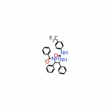 O=C(Nc1ccc(C(F)(F)F)cc1)NC(c1ccccc1)C(NC(=O)c1ccccc1)c1ccccc1